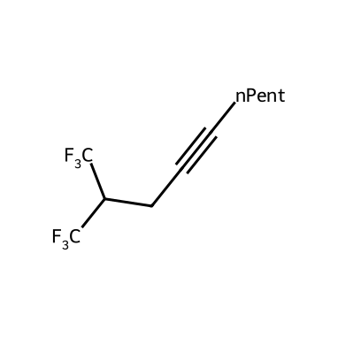 [CH2]CCCCC#CCC(C(F)(F)F)C(F)(F)F